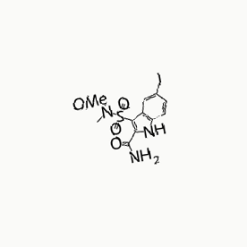 CON(C)S(=O)(=O)c1c(C(N)=O)[nH]c2ccc(I)cc12